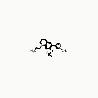 CCCN1CCCc2cc(-c3cnn(C)c3)c(OC(F)(F)F)cc21